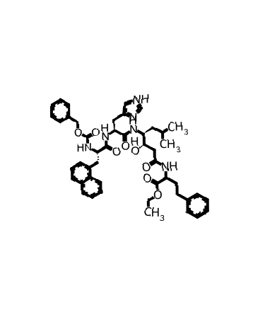 CCOC(=O)C(CCc1ccccc1)NC(=O)C[C@H](O)[C@H](CC(C)C)NC(=O)[C@H](Cc1c[nH]cn1)NC(=O)[C@H](Cc1cccc2ccccc12)NC(=O)OCc1ccccc1